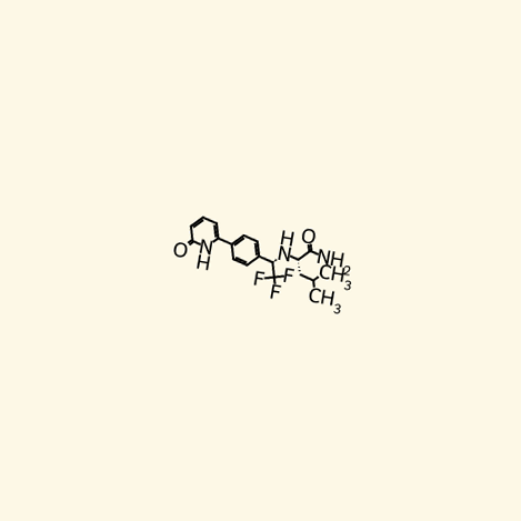 CC(C)C[C@H](N[C@@H](c1ccc(-c2cccc(=O)[nH]2)cc1)C(F)(F)F)C(N)=O